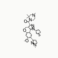 COc1cc2c(cc1-c1ccn(C)n1)-c1c(c(C(=O)N3CCN(C)CC3(C)C)nn1-c1ccsc1)CO2